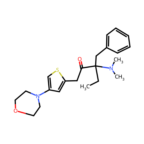 CCC(Cc1ccccc1)(C(=O)Cc1cc(N2CCOCC2)cs1)N(C)C